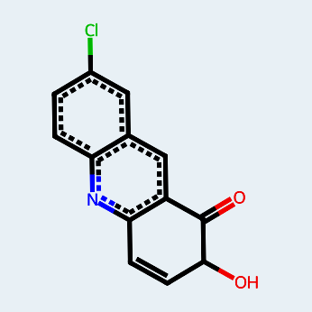 O=C1c2cc3cc(Cl)ccc3nc2C=CC1O